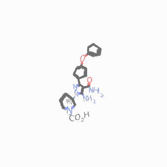 NC(=O)c1c(-c2ccc(Oc3ccccc3)cc2)nn([C@@H]2CCCN(C(=O)O)C2)c1N